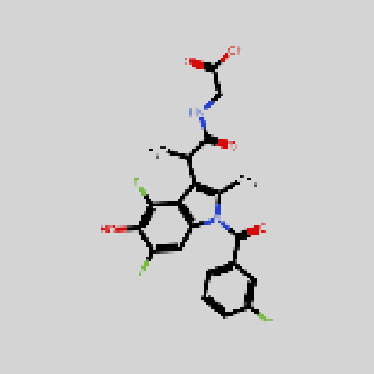 Cc1c(C(C)C(=O)NCC(=O)O)c2c(F)c(O)c(F)cc2n1C(=O)c1cccc(F)c1